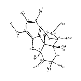 [2H]c1c([2H])c(OC)c2c3c1C[C@@]1([2H])N(C)CC[C@@]34C([2H])(O2)C(=O)C([2H])([2H])C[C@@]14O